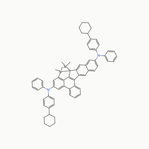 C[Si](C)(C)C12c3cc4cc(N(c5ccccc5)c5ccc(C6CCCCC6)cc5)ccc4cc3-c3c1c1c(cc(N(c4ccccc4)c4ccc(C5CCCCC5)cc4)cc1c1ccccc31)[Si]2(C)C